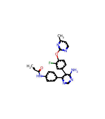 C=CC(=O)Nc1ccc(-c2ncnc(N)c2-c2ccc(Oc3nccc(C)n3)c(F)c2)cc1